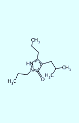 CCCc1[nH]n(CCC)c(=O)c1CC(C)C